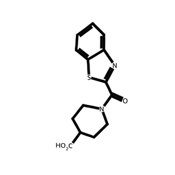 O=C(O)C1CCN(C(=O)c2nc3ccccc3s2)CC1